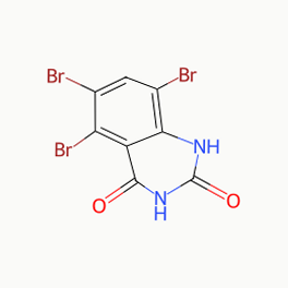 O=c1[nH]c(=O)c2c(Br)c(Br)cc(Br)c2[nH]1